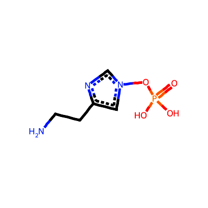 NCCc1cn(OP(=O)(O)O)cn1